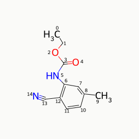 CCOC(=O)Nc1cc(C)ccc1C#N